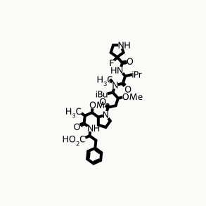 CCC(C)C(C(CC(=O)N1CCCC1C(OC)C(C)C(=O)NC(Cc1ccccc1)C(=O)O)OC)N(C)C(=O)C(NC(=O)C1(F)CCNC1)C(C)C